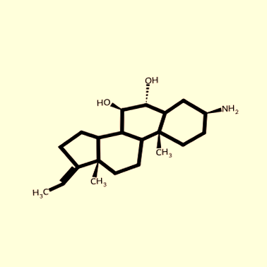 C/C=C1\CCC2C3C(CC[C@]12C)[C@@]1(C)CC[C@H](N)CC1[C@@H](O)[C@@H]3O